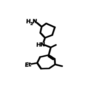 CCC1CCC(C)C=C(C(C)NC2CCCC(N)C2)C1